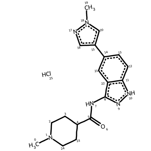 CN1CCC(C(=O)Nc2n[nH]c3ccc(-c4cnn(C)c4)cc23)CC1.Cl